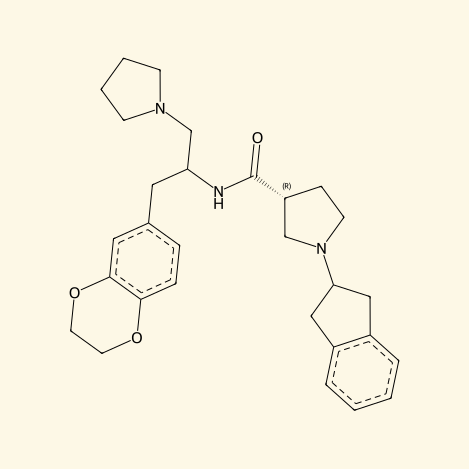 O=C(NC(Cc1ccc2c(c1)OCCO2)CN1CCCC1)[C@@H]1CCN(C2Cc3ccccc3C2)C1